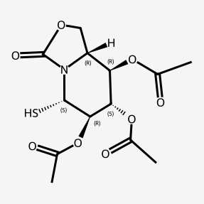 CC(=O)O[C@@H]1[C@@H](OC(C)=O)[C@H](S)N2C(=O)OC[C@@H]2[C@H]1OC(C)=O